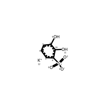 O=S(=O)([O-])c1cccc(O)c1O.[K+]